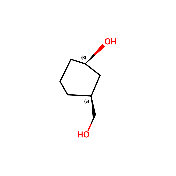 OC[C@H]1CCC[C@@H](O)C1